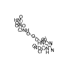 CCOc1cc2ncc(C#N)c(Nc3ccc(OCc4ccccn4)c(Cl)c3)c2cc1NC(=O)CCOCCOCCOCCNc1cccc2c1C(=O)N(C1CCC(=O)NC1=O)C2=O